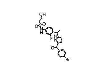 CC(c1ccc(C(=O)c2ccc(Br)cc2)[nH]1)c1ccc(NS(=O)(=O)CCO)cc1F